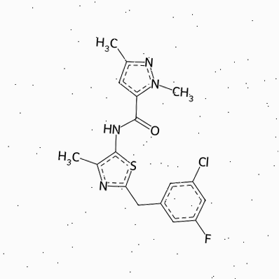 Cc1cc(C(=O)Nc2sc(Cc3cc(F)cc(Cl)c3)nc2C)n(C)n1